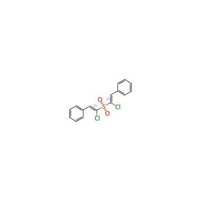 O=S(=O)(/C(Cl)=C/c1ccccc1)/C(Cl)=C/c1ccccc1